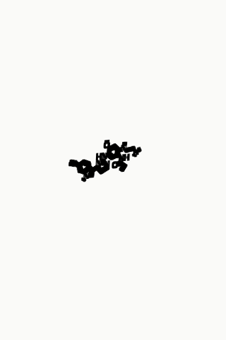 C#Cc1ccc2c(-c3ccnc(Nc4cc(NC(=O)C=C)c(N(C)CCN(C)C)cc4OC)n3)cn(C)c2c1